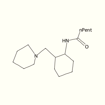 CCCCCC(=O)NC1CCCCC1CN1CCCCC1